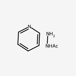 CC(=O)NN.c1ccncc1